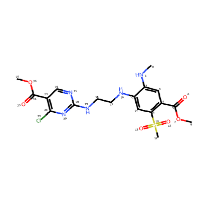 CNc1cc(C(=O)OC)c(S(C)(=O)=O)cc1NCCNc1ncc(C(=O)OC)c(Cl)n1